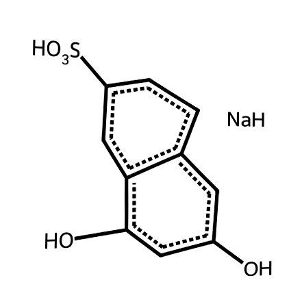 O=S(=O)(O)c1ccc2cc(O)cc(O)c2c1.[NaH]